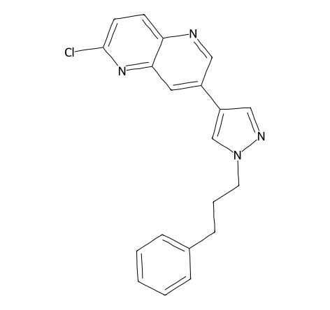 Clc1ccc2ncc(-c3cnn(CCCc4ccccc4)c3)cc2n1